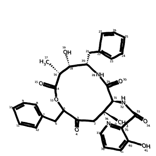 C[C@H]1CC(=O)C(Cc2ccccc2)OC(=O)[C@H](C)[C@H](O)[C@H](Cc2ccccc2)NC(=O)[C@H]1NC(=O)c1ncccc1O